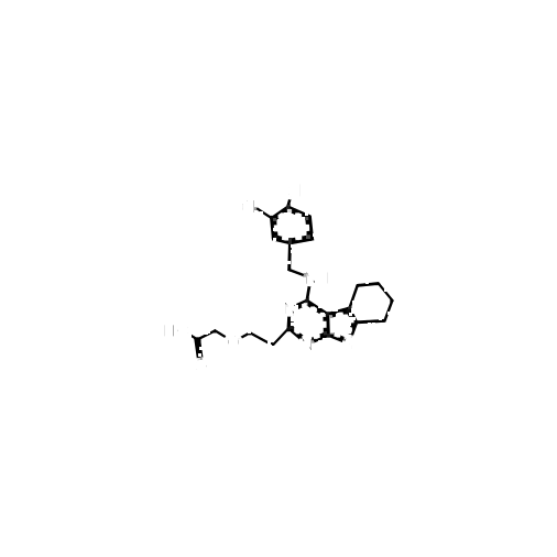 O=C(O)COCCc1nc(NCc2ccc(Cl)c(Cl)c2)c2c3c(sc2n1)CCCC3